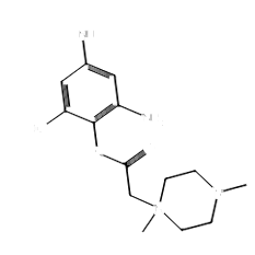 CN1CC[N+](C)(CC(=O)Nc2c(N)cc(N)cc2O)CC1